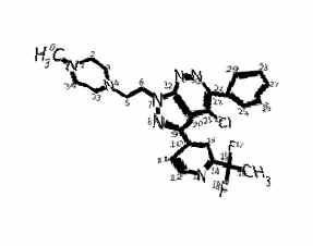 CN1CCN(CCn2nc(-c3ccnc(C(C)(F)F)c3)c3c(Cl)c(-c4ccccc4)nnc32)CC1